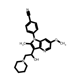 COc1cnc2c(C(O)CN3CCCCC3)c(C)n(-c3ccc(C#N)cc3)c2c1